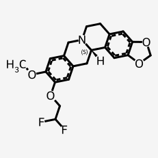 COc1cc2c(cc1OCC(F)F)C[C@H]1c3cc4c(cc3CCN1C2)OCO4